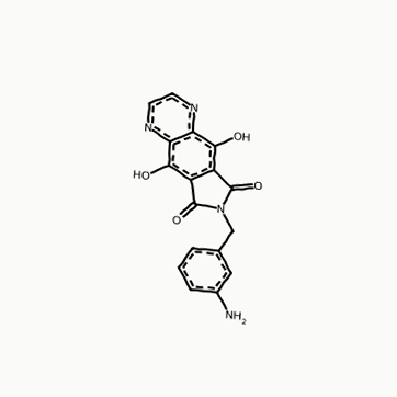 Nc1cccc(CN2C(=O)c3c(c(O)c4nccnc4c3O)C2=O)c1